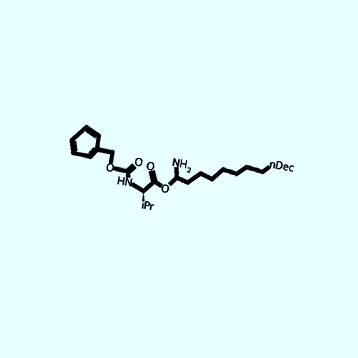 CCCCCCCCCCCCCCCCCC(N)OC(=O)[C@@H](NC(=O)OCc1ccccc1)C(C)C